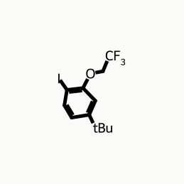 CC(C)(C)c1ccc(I)c(OCC(F)(F)F)c1